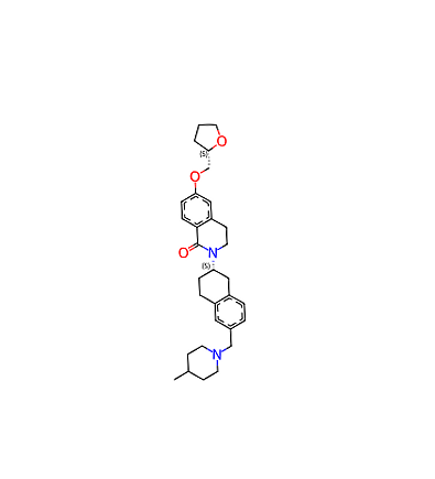 CC1CCN(Cc2ccc3c(c2)CC[C@H](N2CCc4cc(OC[C@@H]5CCCO5)ccc4C2=O)C3)CC1